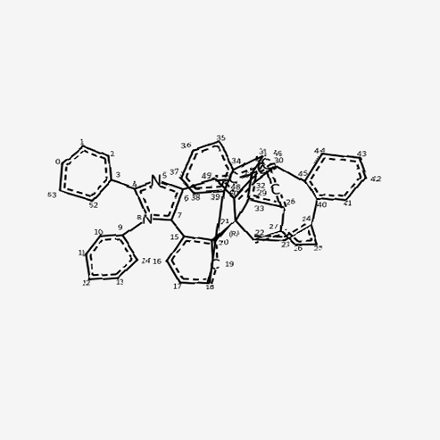 c1ccc(-c2nc3c(n2-c2ccccc2)-c2ccc4cc2[C@]25c6cc(ccc6-c6ccc(cc62)-c2ccccc2-4)-c2ccccc2-c2ccc-3c5c2)cc1